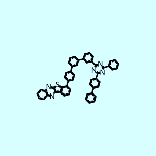 c1ccc(-c2ccc(-c3nc(-c4ccccc4)nc(-c4cccc(-c5cccc(-c6ccc(-c7cccc8c7sc7nc9ccccc9nc78)cc6)c5)c4)n3)cc2)cc1